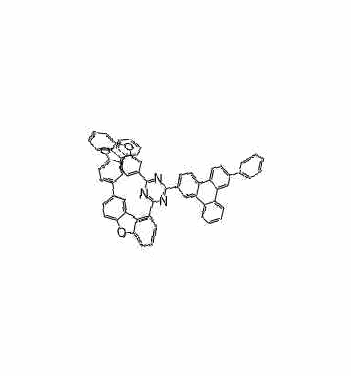 c1ccc(-c2ccc3c4ccc(-c5nc(-c6ccc7c(c6)oc6ccccc67)nc(-c6cccc7oc8ccc(-c9ccc%10oc%11ccccc%11c%10c9)cc8c67)n5)cc4c4ccccc4c3c2)cc1